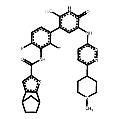 Cc1[nH]c(=O)c(Nc2ccc(C3CCN(C)CC3)nn2)cc1-c1ccc(F)c(NC(=O)c2cc3c(s2)C2CCC3C2)c1F